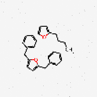 CCCCc1ccco1.c1ccc(Cc2ccc(Cc3ccccc3)o2)cc1